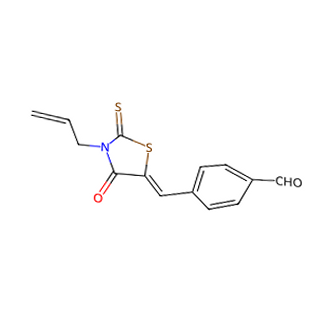 C=CCN1C(=O)C(=Cc2ccc(C=O)cc2)SC1=S